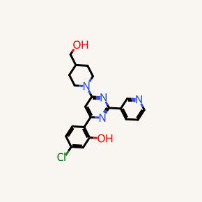 OCC1CCN(c2cc(-c3ccc(Cl)cc3O)nc(-c3cccnc3)n2)CC1